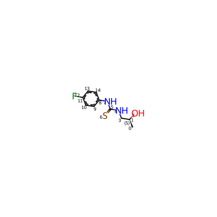 C[C@H](O)CNC(=S)Nc1ccc(F)cc1